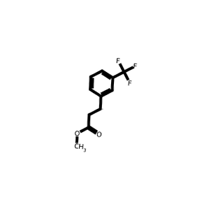 COC(=O)C[CH]c1cccc(C(F)(F)F)c1